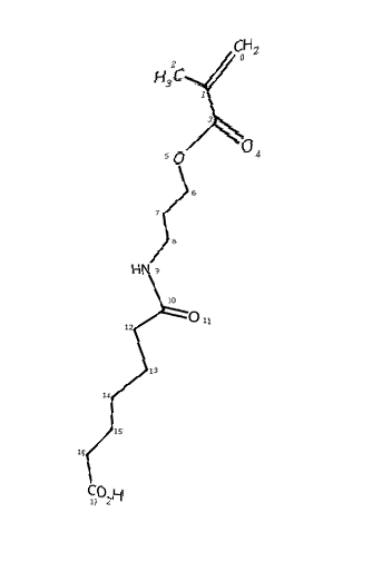 C=C(C)C(=O)OCCCNC(=O)CCCCCC(=O)O